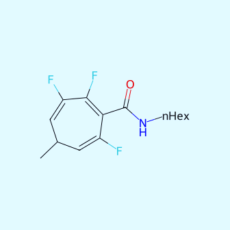 CCCCCCNC(=O)C1=C(F)C(F)=CC(C)C=C1F